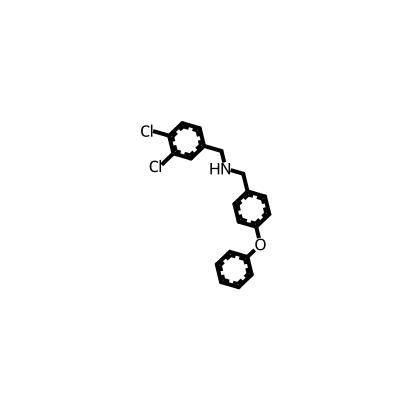 Clc1ccc(CNCc2ccc(Oc3ccccc3)cc2)cc1Cl